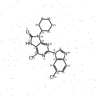 O=c1[nH]c2c(Cl)nc(-n3cnc4ccc(Cl)cc43)nc2n1C1CCCCC1